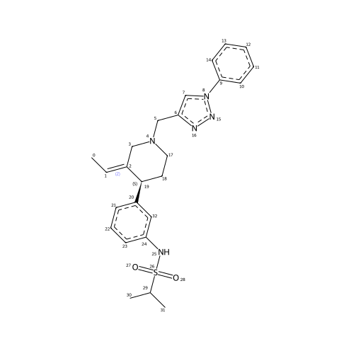 C/C=C1\CN(Cc2cn(-c3ccccc3)nn2)CC[C@H]1c1cccc(NS(=O)(=O)C(C)C)c1